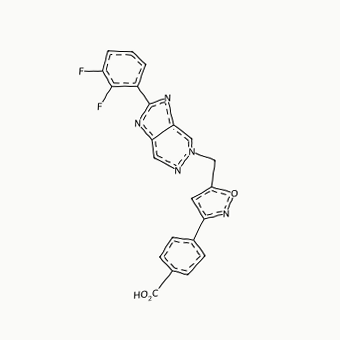 O=C(O)c1ccc(-c2cc(Cn3cc4nc(-c5cccc(F)c5F)nc-4cn3)on2)cc1